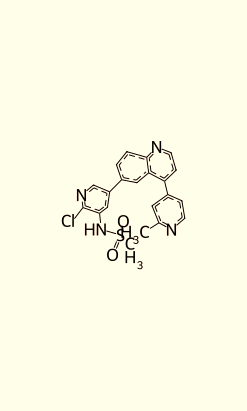 Cc1cc(-c2ccnc3ccc(-c4cnc(Cl)c(NS(C)(=O)=O)c4)cc23)ccn1